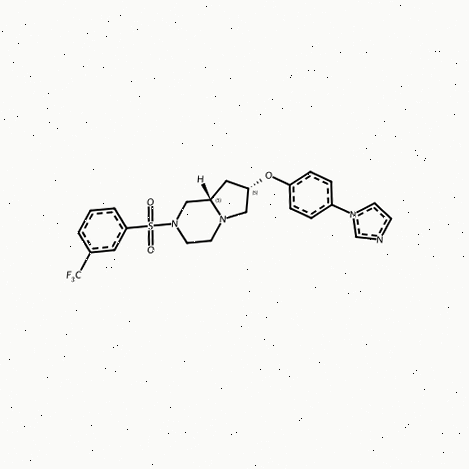 O=S(=O)(c1cccc(C(F)(F)F)c1)N1CCN2C[C@@H](Oc3ccc(-n4ccnc4)cc3)C[C@H]2C1